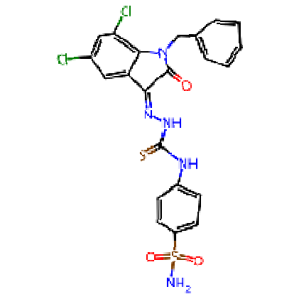 NS(=O)(=O)c1ccc(NC(=S)NN=C2C(=O)N(Cc3ccccc3)c3c(Cl)cc(Cl)cc32)cc1